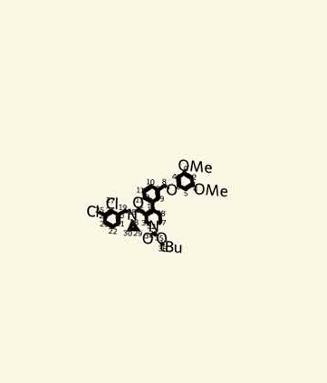 COc1cc(OC)cc(OCc2cccc(C3=C(C(=O)N(Cc4cccc(Cl)c4Cl)C4CC4)CN(C(=O)OC(C)(C)C)CC3)c2)c1